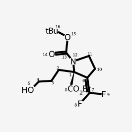 CCOC(=O)[C@]1(CCCO)C(=C(F)F)CCN1C(=O)OC(C)(C)C